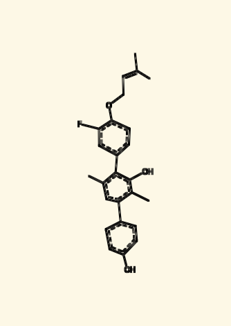 CC(C)=CCOc1ccc(-c2c(C)cc(-c3ccc(O)cc3)c(C)c2O)cc1F